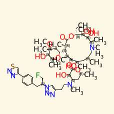 CC[C@H]1OC(=O)[C@H](C)[C@@H](C2C[C@@](C)(OC)[C@@H](O)[C@H](C)O2)[C@H](C)[C@@H](O[C@@H]2O[C@H](C)C[C@H](N(C)CCc3cn([C@H](CF)Cc4ccc(-c5csnn5)cc4)nn3)[C@H]2O)[C@](C)(O)C[C@@H](C)CN(C)[C@H](C)[C@@H](O)[C@]1(C)O